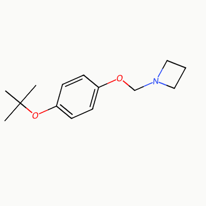 CC(C)(C)Oc1ccc(OCN2CCC2)cc1